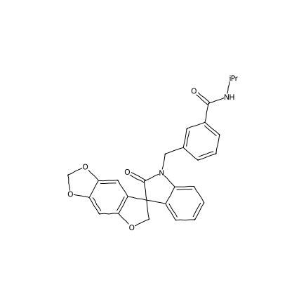 CC(C)NC(=O)c1cccc(CN2C(=O)C3(COc4cc5c(cc43)OCO5)c3ccccc32)c1